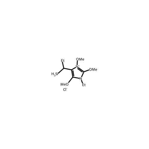 CCC([SiH3])c1c(OC)n(CC)c(OC)[n+]1OC.[Cl-]